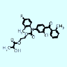 Cc1ccccc1C(=O)c1ccc(N(C(=O)OCCOC(=O)C(C)O)c2ccc(F)cc2C)cc1Cl